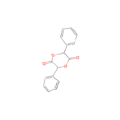 O=C1OC(c2ccccc2)C(=O)OC1c1ccccc1